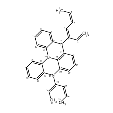 C=C/C(=C\C=C/C)N1c2ccccc2B2c3ccccc3N(C(/C=C\C)=C/C)c3cccc1c32